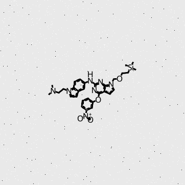 CN(C)CCn1ccc2cc(Nc3nc(Oc4cccc([N+](=O)[O-])c4)c4ccn(COCC[Si](C)(C)C)c4n3)ccc21